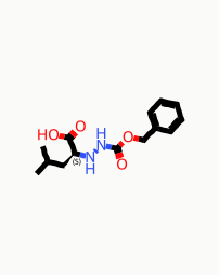 CC(C)C[C@H](NNC(=O)OCc1ccccc1)C(=O)O